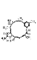 CO[C@@H]1[C@@H](C)/C=C(\C)[C@H](OC(N)=O)[C@@H](OC)/C=C/C=C(\C)C(=O)Nc2cc(C)cc(c2)C[C@@H](C)C[C@@H]1C